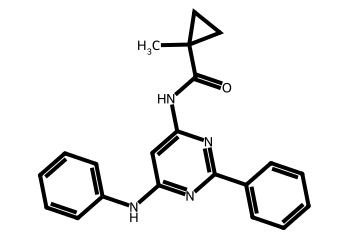 CC1(C(=O)Nc2cc(Nc3ccccc3)nc(-c3ccccc3)n2)CC1